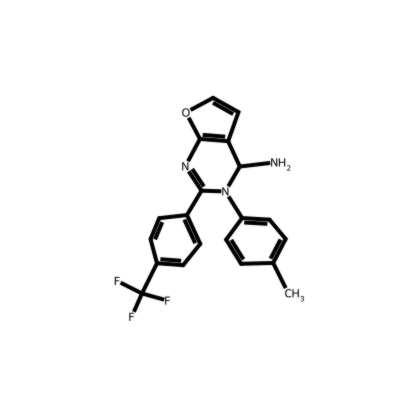 Cc1ccc(N2C(c3ccc(C(F)(F)F)cc3)=Nc3occc3C2N)cc1